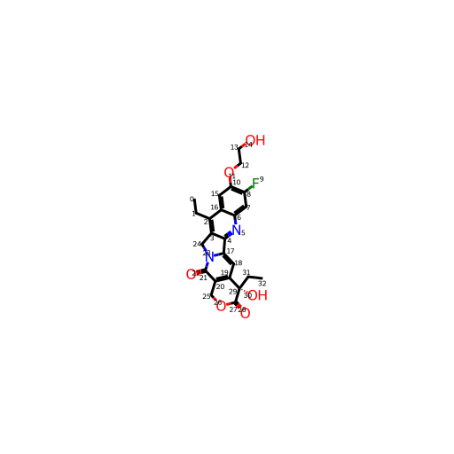 CCc1c2c(nc3cc(F)c(OCCO)cc13)-c1cc3c(c(=O)n1C2)COC(=O)[C@]3(O)CC